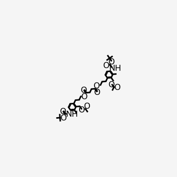 CC(=O)OCc1c(CCCOC(=O)CCC(=O)OCCCc2ccc(NC(=O)OC(C)(C)C)c(C)c2COC(C)=O)ccc(NC(=O)OC(C)(C)C)c1C